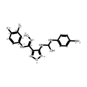 Nc1ccc(NC(O)Nc2nonc2/C(=N/O)Nc2ccc(F)c(Cl)c2)cc1